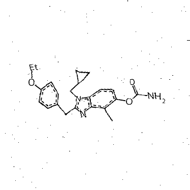 CCOc1ccc(Cc2nc3c(C)c(OC(N)=O)ccc3n2CC2CC2)cc1